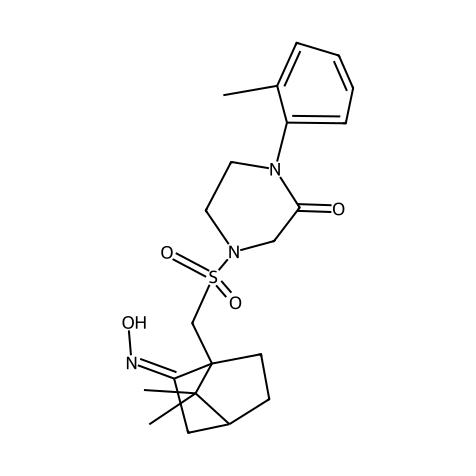 Cc1ccccc1N1CCN(S(=O)(=O)CC23CCC(CC2=NO)C3(C)C)CC1=O